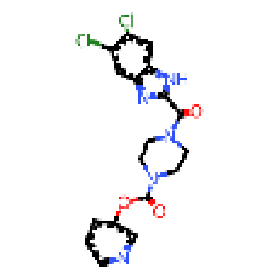 O=C(Oc1cccnc1)N1CCN(C(=O)c2nc3cc(Cl)c(Cl)cc3[nH]2)CC1